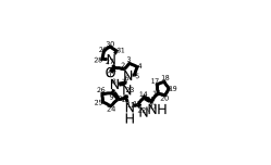 O=C(C1CCCN1c1nc2c(c(Nc3cc(C4CCCC4)[nH]n3)n1)CCC2)N1CCCC1